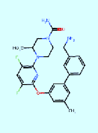 Cc1cc(Oc2nc(N3CCN(C(N)=O)CC3C(=O)O)c(F)cc2F)cc(-c2cccc(CN)c2)c1